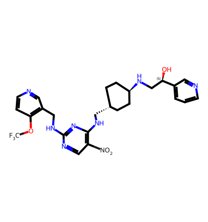 O=[N+]([O-])c1cnc(NCc2cnccc2OC(F)(F)F)nc1NC[C@H]1CC[C@H](NC[C@@H](O)c2cccnc2)CC1